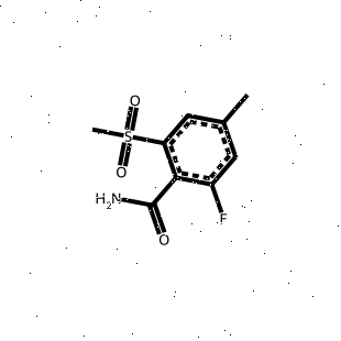 Cc1cc(F)c(C(N)=O)c(S(C)(=O)=O)c1